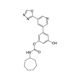 O=C(NC1CCCCCC1)Oc1cc(O)cc(-c2cncc(-c3nnco3)c2)c1